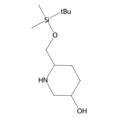 CC(C)(C)[Si](C)(C)OCC1CCC(O)CN1